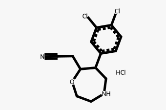 Cl.N#CCC1OCCNCC1c1ccc(Cl)c(Cl)c1